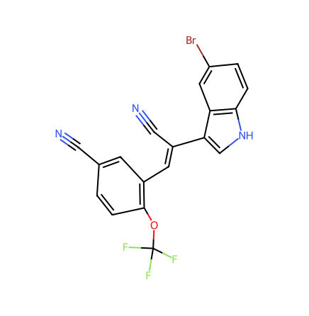 N#CC(=Cc1cc(C#N)ccc1OC(F)(F)F)c1c[nH]c2ccc(Br)cc12